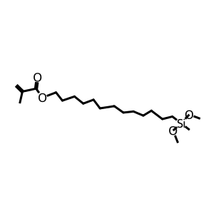 C=C(C)C(=O)OCCCCCCCCCCCCC[Si](C)(OC)OC